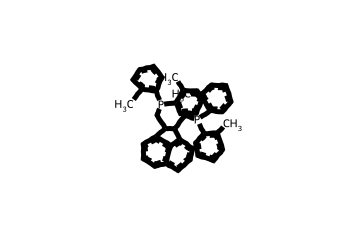 Cc1ccccc1P(CC1c2cccc3cccc(c23)C1CP(c1ccccc1C)c1ccccc1C)c1ccccc1C